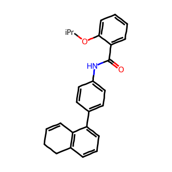 CC(C)Oc1ccccc1C(=O)Nc1ccc(-c2cccc3c2C=CCC3)cc1